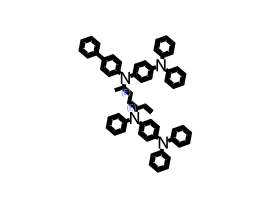 C=C/C(=C\C=C(/C)N(c1ccc(-c2ccccc2)cc1)c1ccc(N(c2ccccc2)c2ccccc2)cc1)N(c1ccccc1)c1ccc(N(c2ccccc2)c2ccccc2)cc1